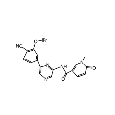 CC(C)Oc1cc(-c2cncc(NC(=O)c3ccc(=O)n(C)c3)n2)ccc1C#N